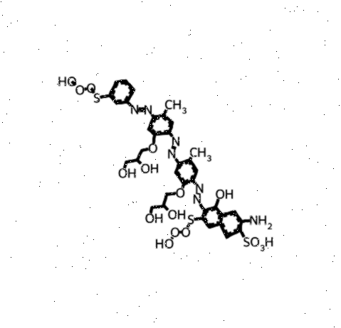 Cc1cc(N=Nc2cc(OCC(O)CO)c(N=Nc3c(SOOO)cc4cc(S(=O)(=O)O)c(N)cc4c3O)cc2C)c(OCC(O)CO)cc1N=Nc1cccc(SOOO)c1